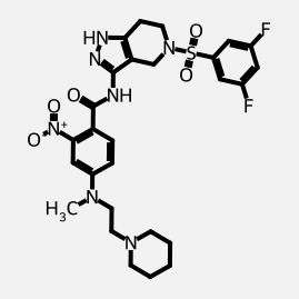 CN(CCN1CCCCC1)c1ccc(C(=O)Nc2n[nH]c3c2CN(S(=O)(=O)c2cc(F)cc(F)c2)CC3)c([N+](=O)[O-])c1